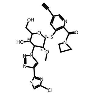 C#Cc1cnc(C(=O)N2CCC2)c(S[C@H]2OC(CO)[C@H](O)C(n3cc(-c4nc(Cl)cs4)nn3)[C@@H]2OC)c1